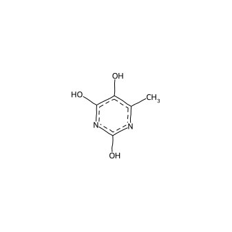 Cc1nc(O)nc(O)c1O